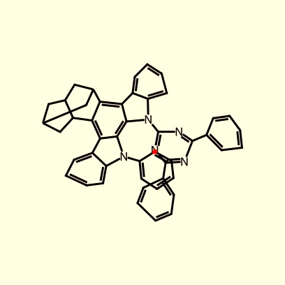 c1ccc(-c2nc(-c3ccccc3)nc(-n3c4ccccc4c4c5c(c6c7ccccc7n(-c7ccccc7)c6c43)C3CC4CC5CC3C4)n2)cc1